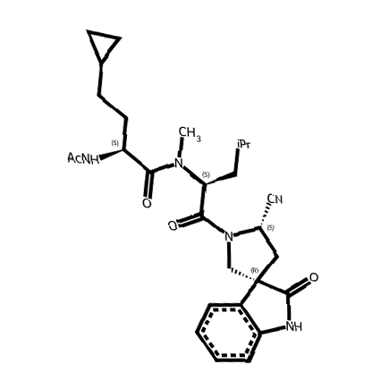 CC(=O)N[C@@H](CCC1CC1)C(=O)N(C)[C@@H](CC(C)C)C(=O)N1C[C@]2(C[C@H]1C#N)C(=O)Nc1ccccc12